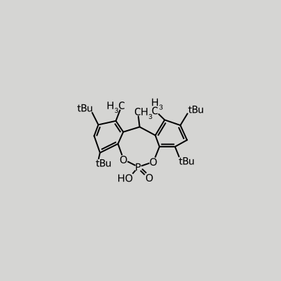 Cc1c(C(C)(C)C)cc(C(C)(C)C)c2c1C(C)c1c(C)c(C(C)(C)C)cc(C(C)(C)C)c1OP(=O)(O)O2